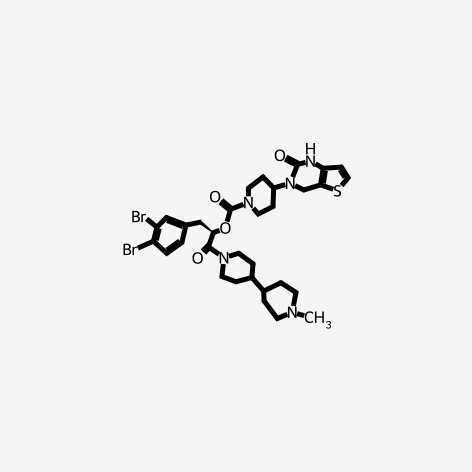 CN1CCC(C2CCN(C(=O)[C@@H](Cc3ccc(Br)c(Br)c3)OC(=O)N3CCC(N4Cc5sccc5NC4=O)CC3)CC2)CC1